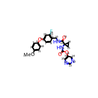 COc1ccc(Oc2ccc(CNC(=O)C3(NC(=O)Oc4cncnc4)CC3)c(F)c2)cc1